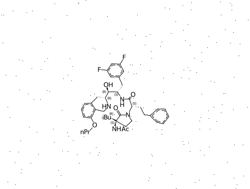 CCCOc1cccc2c1CN[C@@H]([C@@H](O)[C@H](Cc1cc(F)cc(F)c1)NC(=O)[C@H](CCc1ccccc1)N1CC[C@](NC(C)=O)([C@H](C)CC)C1=O)C2